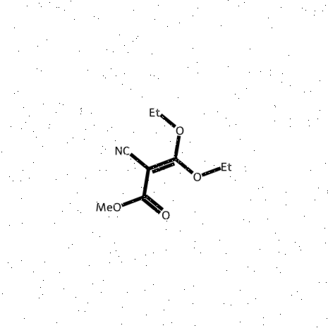 CCOC(OCC)=C(C#N)C(=O)OC